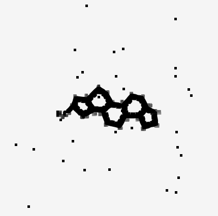 Cc1cc2ccc3c4ccc5sccc5c4ccc3c2s1